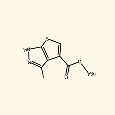 CCCCOC(=O)c1csc2[nH]nc(I)c12